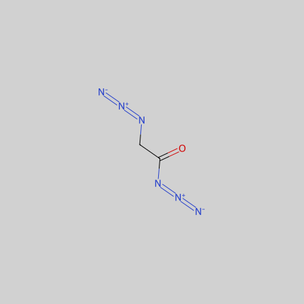 [N-]=[N+]=NCC(=O)N=[N+]=[N-]